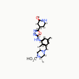 Cc1cc(CN2CCN(C(=O)O)[C@@H](C)C2)c(C)c(Nc2nnc(C3CCNC(=O)C3)o2)c1